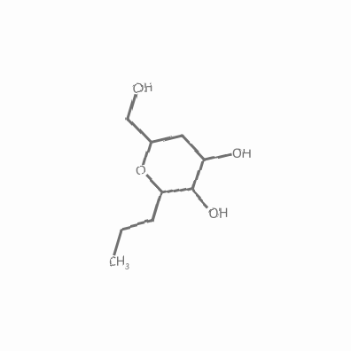 CCCC1OC(CO)CC(O)C1O